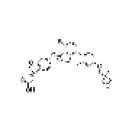 Cc1cc(OCC2(C)COC2)cc(C)c1-c1ccc(F)c2c1CC[C@H]2Oc1ccc2c(c1)OC[C@H]2CC(=O)O